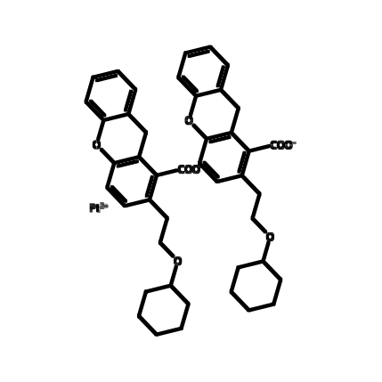 O=C([O-])c1c(CCOC2CCCCC2)ccc2c1Cc1ccccc1O2.O=C([O-])c1c(CCOC2CCCCC2)ccc2c1Cc1ccccc1O2.[Pt+2]